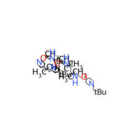 C[C@H](CNC(C)(C)C)Oc1cc(C(C)(C)Cc2cc(C(C)(C)C)cc(O[C@@H](C)CNC(C)(C)CCC(C)(C)NCCOC3CCN(CCC(C)(C)C)CC3)n2)ccn1